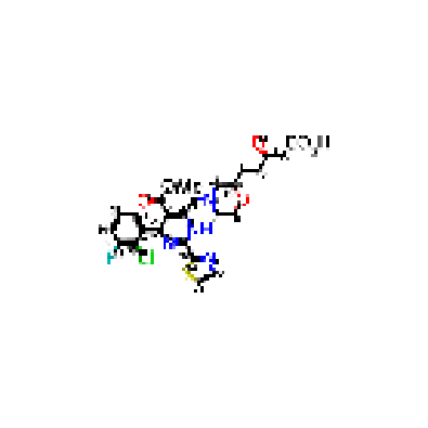 COC(=O)C1=C(CN2CCO[C@H](CCC(=O)CC(=O)O)C2)NC(c2nccs2)=N[C@H]1c1cccc(F)c1Cl